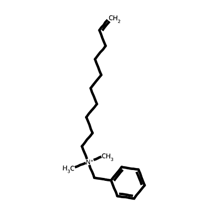 C=CCCCCCCCC[N+](C)(C)Cc1ccccc1